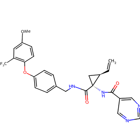 C=C[C@@H]1C[C@]1(NC(=O)c1cncnc1)C(=O)NCc1ccc(Oc2ccc(OC)cc2C(F)(F)F)cc1